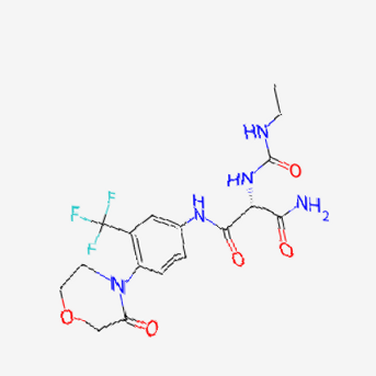 CCNC(=O)N[C@H](C(N)=O)C(=O)Nc1ccc(N2CCOCC2=O)c(C(F)(F)F)c1